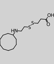 O=C(O)CCSSCCNC1CCCCCCCCC1